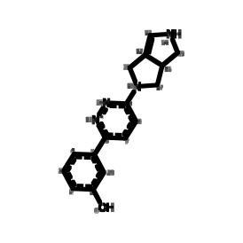 Oc1cccc(-c2ccc(N3CC4=CNCC4C3)nn2)c1